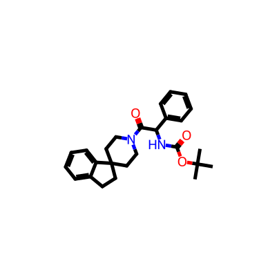 CC(C)(C)OC(=O)NC(C(=O)N1CCC2(CCc3ccccc32)CC1)c1ccccc1